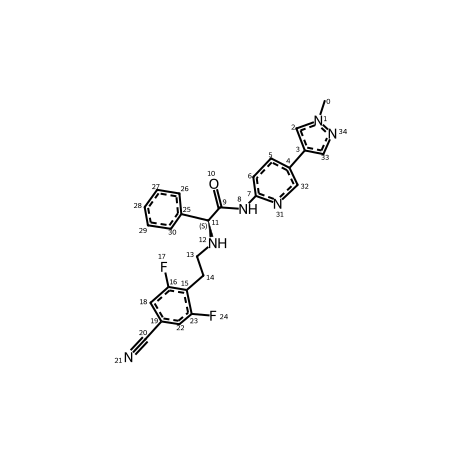 Cn1cc(-c2ccc(NC(=O)[C@@H](NCCc3c(F)cc(C#N)cc3F)c3ccccc3)nc2)cn1